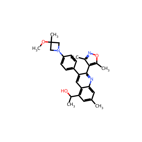 COC1(C)CN(c2ccc(-c3cc4c(C(C)O)cc(C)cc4nc3-c3c(C)noc3C)cc2)C1